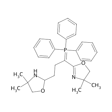 CC1(C)COC(C(CCC2NC(C)(C)CO2)=P(c2ccccc2)(c2ccccc2)c2ccccc2)=N1